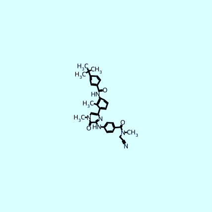 Cc1c(NC(=O)c2ccc(C(C)(C)C)cc2)cccc1-c1cn(C)c(=O)c(Nc2ccc(C(=O)N(C)CC#N)cc2)n1